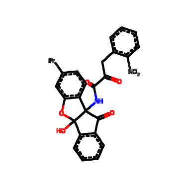 CC(C)c1ccc2c(c1)OC1(O)c3ccccc3C(=O)C21NC(=O)C(=O)Cc1ccccc1[N+](=O)[O-]